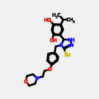 CC(C)c1cc(C2NN=C(S)N2Cc2ccc(OCCN3CCOCC3)cc2)c(O)cc1O